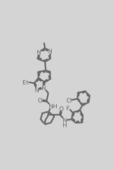 CCc1nn(CC(=O)NC23CCC(CC2)CC3C(=O)Nc2cccc(-c3ccccc3Cl)c2F)c2ccc(-c3cnc(C)nc3)cc12